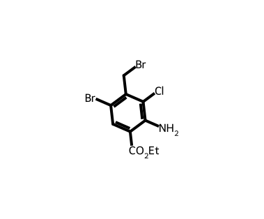 CCOC(=O)c1cc(Br)c(CBr)c(Cl)c1N